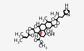 COC(=O)[C@@]12C[C@H](O)C3[C@@]4(C)CC(=O)C(OC(=O)[C@@H](N)Cc5c[nH]cn5)=C(C)C4C[C@H]4OC(=O)[C@H](OC(=O)C=C(C)C)[C@@H]1[C@@]34CO2